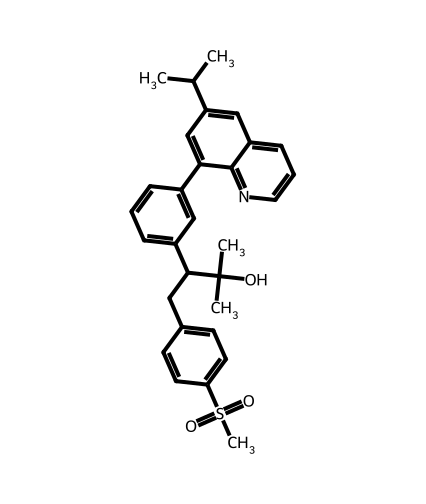 CC(C)c1cc(-c2cccc(C(Cc3ccc(S(C)(=O)=O)cc3)C(C)(C)O)c2)c2ncccc2c1